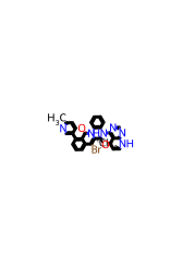 Cc1ccc(-c2cccc3c(Br)c([C@H](C)Nc4ncnc5[nH]ccc(=O)c45)n(-c4ccccc4)c(=O)c23)cn1